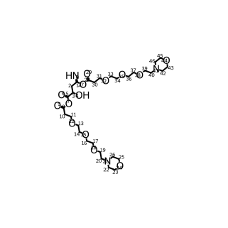 N=C(CC(O)C(=O)OC(=O)CCOCCOCCOCCN1CCOCC1)OC(=O)CCOCCOCCOCCN1CCOCC1